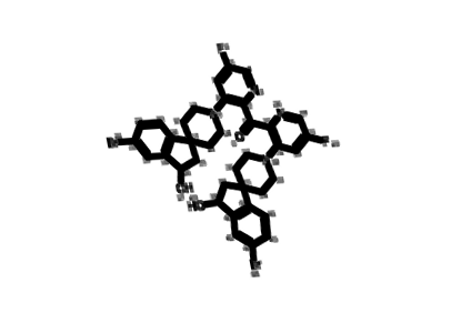 O=C(c1ncc(F)cc1N1CCC2(CC1)CC(O)c1cc(Br)ccc12)c1ncc(F)cc1N1CCC2(CC1)CC(O)c1cc(Br)ccc12